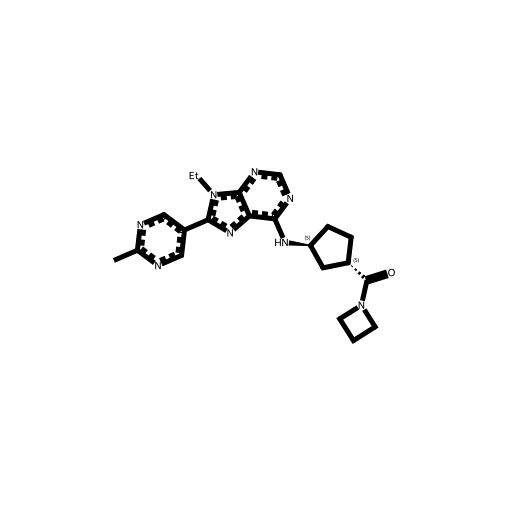 CCn1c(-c2cnc(C)nc2)nc2c(N[C@H]3CC[C@H](C(=O)N4CCC4)C3)ncnc21